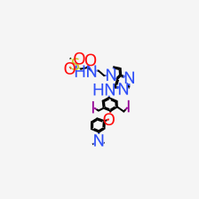 CN(C)c1cccc(Oc2c(CI)cc(Nc3ncnc4ccn(CCNC(=O)CS(C)(=O)=O)c34)cc2CI)c1